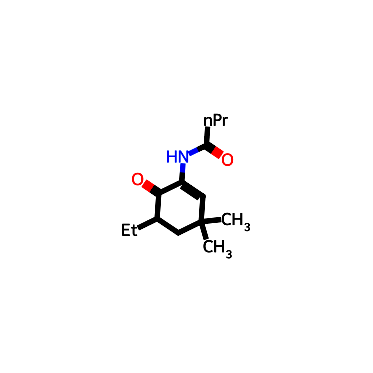 CCCC(=O)NC1=CC(C)(C)CC(CC)C1=O